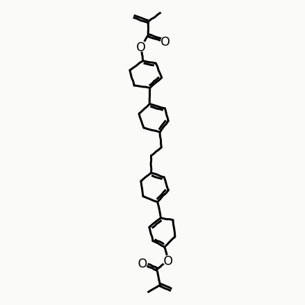 C=C(C)C(=O)OC1=CC=C(C2=CC=C(CCC3=CC=C(C4=CC=C(OC(=O)C(=C)C)CC4)CC3)CC2)CC1